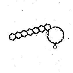 O=c1ccccccccc2ccc3cc4cc5cc6cc7cc8ccccc8cc7cc6cc5cc4cc3c2nccc1